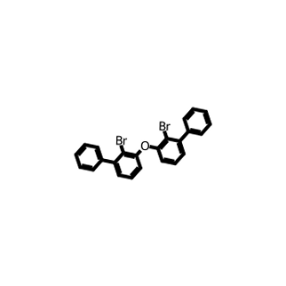 Brc1c(Oc2cccc(-c3ccccc3)c2Br)cccc1-c1ccccc1